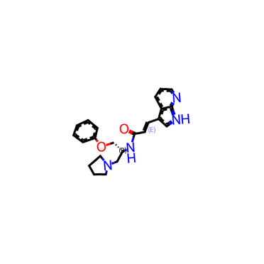 O=C(/C=C/c1c[nH]c2ncccc12)N[C@@H](COc1ccccc1)CN1CCCC1